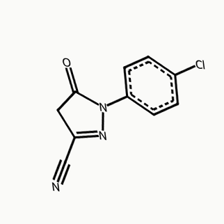 N#CC1=NN(c2ccc(Cl)cc2)C(=O)C1